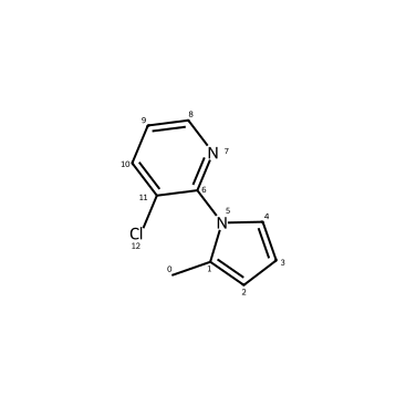 Cc1cccn1-c1ncccc1Cl